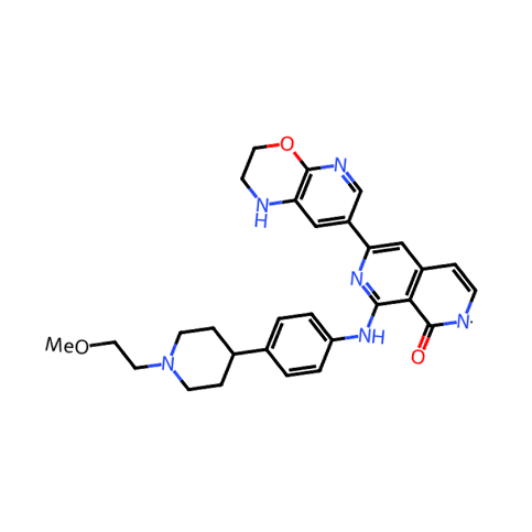 COCCN1CCC(c2ccc(Nc3nc(-c4cnc5c(c4)NCCO5)cc4c3C(=O)[N]C=C4)cc2)CC1